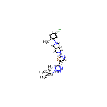 Cc1ccc(Cl)cc1N1CC2CN(c3ncc(-c4nnn(CC(C)(C)C)n4)s3)CC2C1